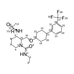 CCNC(=O)N1CCC[C@H](N[SH](C)(C)=O)C1COC1CCC(c2cccc(C(F)(F)F)c2)CC1